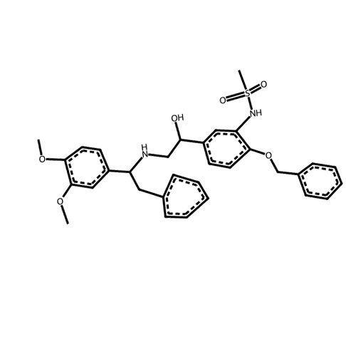 COc1ccc(C(Cc2ccccc2)NCC(O)c2ccc(OCc3ccccc3)c(NS(C)(=O)=O)c2)cc1OC